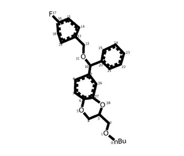 CCCCOCC1COc2ccc(C(OCc3ccc(F)cc3)c3ccccc3)cc2O1